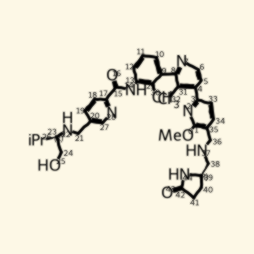 COc1nc(-c2ccnc(-c3cccc(NC(=O)c4ccc(CN[C@@H](CO)C(C)C)cn4)c3C)c2Cl)ccc1CNC[C@H]1CCC(=O)N1